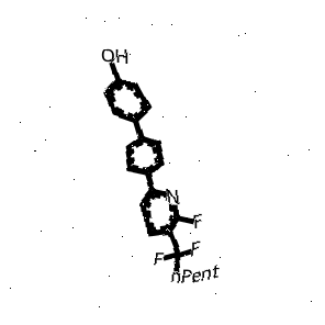 CCCCCC(F)(F)c1ccc(-c2ccc(-c3ccc(O)cc3)cc2)nc1F